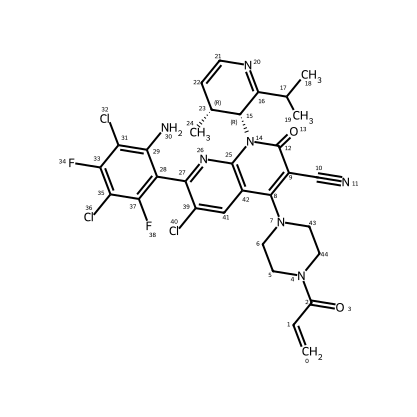 C=CC(=O)N1CCN(c2c(C#N)c(=O)n([C@H]3C(C(C)C)=NC=C[C@H]3C)c3nc(-c4c(N)c(Cl)c(F)c(Cl)c4F)c(Cl)cc23)CC1